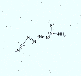 N#C/N=N/N=N/N(N)F